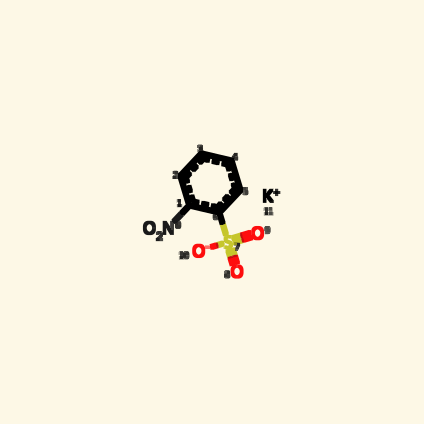 O=[N+]([O-])c1ccccc1S(=O)(=O)[O-].[K+]